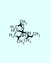 CCC(C)NC([SiH3])(NC(C)C)NC(C)C